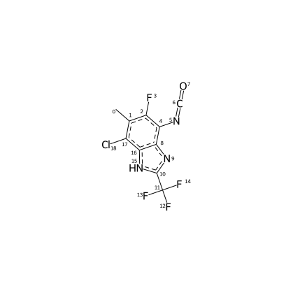 Cc1c(F)c(N=C=O)c2nc(C(F)(F)F)[nH]c2c1Cl